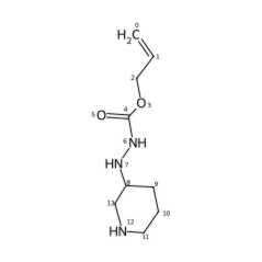 C=CCOC(=O)NNC1CCCNC1